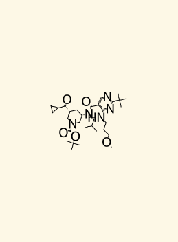 COCCCNc1nc(C(C)(C)C)ncc1C(=O)N(CC(C)C)[C@H]1C[C@@H](C(=O)C2CC2)CN(C(=O)OC(C)(C)C)C1